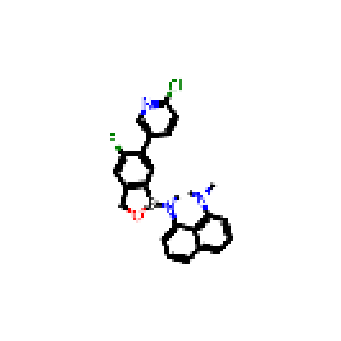 CN(C)c1cccc2cccc(N(C)B3OCc4cc(F)c(-c5ccc(Cl)nc5)cc43)c12